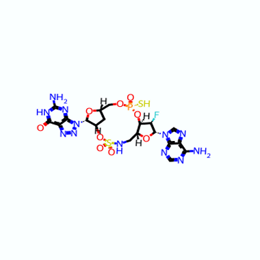 Nc1nc2c(nnn2[C@@H]2O[C@@H]3CO[P@](=O)(S)O[C@H]4[C@@H](F)[C@H](n5cnc6c(N)ncnc65)O[C@@H]4CNS(=O)(=O)O[C@@H]2C3)c(=O)[nH]1